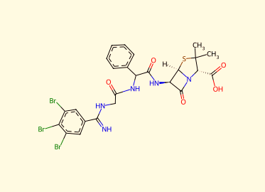 CC1(C)S[C@@H]2[C@H](NC(=O)C(NC(=O)CNC(=N)c3cc(Br)c(Br)c(Br)c3)c3ccccc3)C(=O)N2[C@H]1C(=O)O